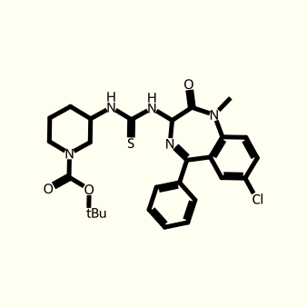 CN1C(=O)C(NC(=S)NC2CCCN(C(=O)OC(C)(C)C)C2)N=C(c2ccccc2)c2cc(Cl)ccc21